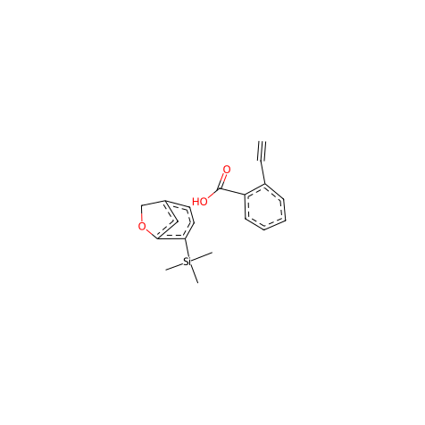 C#Cc1ccccc1C(=O)O.C[Si](C)(C)c1ccc2cc1OC2